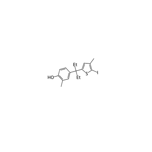 CCC(CC)(c1ccc(O)c(C)c1)c1cc(C)c(I)s1